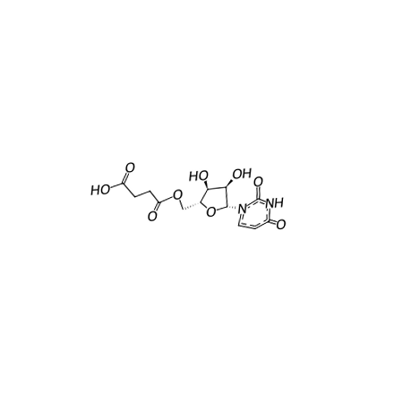 O=C(O)CCC(=O)OC[C@H]1O[C@@H](n2ccc(=O)[nH]c2=O)[C@H](O)[C@@H]1O